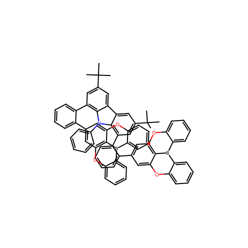 CC(C)(C)c1cc(-c2ccccc2-c2cc3c4c(c2)Oc2ccccc2B4c2ccccc2O3)c2c(c1)c1cc(C(C)(C)C)cc(-c3ccccc3-c3cc4c5c(c3)Oc3ccccc3B5c3ccccc3O4)c1n2-c1ccccc1